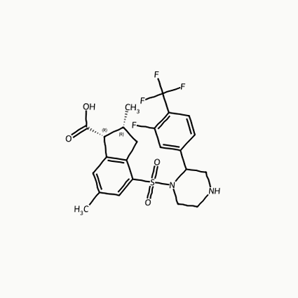 Cc1cc2c(c(S(=O)(=O)N3CCNCC3c3ccc(C(F)(F)F)c(F)c3)c1)C[C@@H](C)[C@H]2C(=O)O